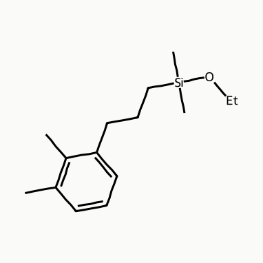 CCO[Si](C)(C)CCCc1cccc(C)c1C